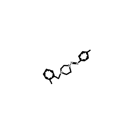 Cc1ccc(N=NN2CCN(Cc3ccccc3C)CC2)cc1